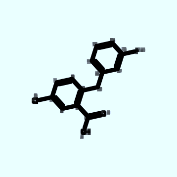 O=C(O)c1cc(Cl)ccc1Cc1cccc(F)c1